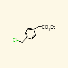 CCOC(=O)Cc1ccc(CCl)cc1